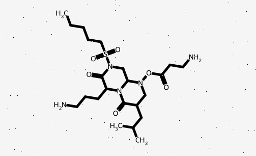 CCCCCS(=O)(=O)N1CC2N(OC(=O)CCN)CC(CC(C)C)C(=O)N2C(CCCN)C1=O